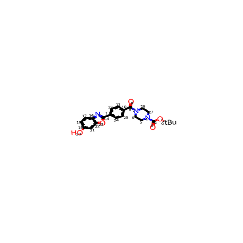 CC(C)(C)OC(=O)N1CCN(C(=O)c2ccc(-c3nc4ccc(O)cc4o3)cc2)CC1